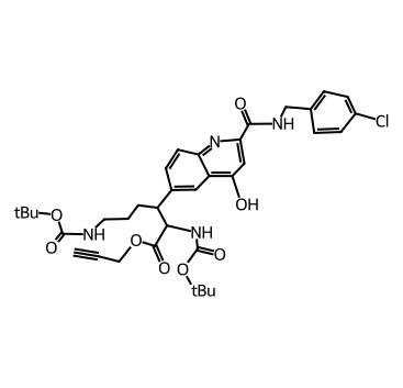 C#CCOC(=O)C(NC(=O)OC(C)(C)C)C(CCCNC(=O)OC(C)(C)C)c1ccc2nc(C(=O)NCc3ccc(Cl)cc3)cc(O)c2c1